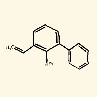 C=Cc1cccc(-c2ccccc2)c1CCC